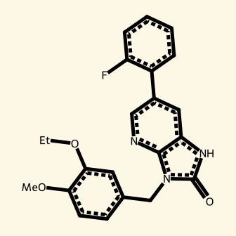 CCOc1cc(Cn2c(=O)[nH]c3cc(-c4ccccc4F)cnc32)ccc1OC